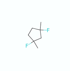 CC1(F)CCC(C)(F)C1